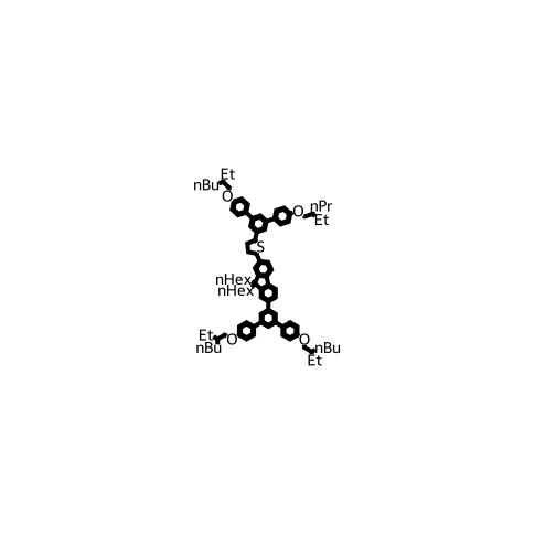 CCCCCCC1(CCCCCC)c2cc(-c3cc(-c4ccc(OCC(CC)CCCC)cc4)cc(-c4ccc(OCC(CC)CCCC)cc4)c3)ccc2-c2ccc(C3CCC(c4cc(-c5ccc(OCC(CC)CCC)cc5)cc(-c5ccc(OCC(CC)CCCC)cc5)c4)S3)cc21